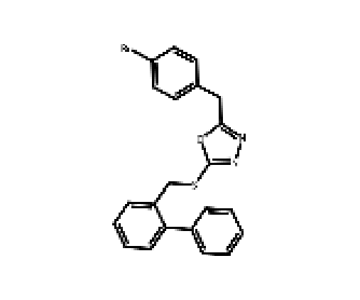 Brc1ccc(Cc2nnc(SCc3ccccc3-c3ccccc3)o2)cc1